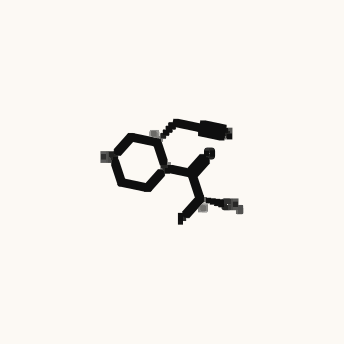 C[C@H](F)C(=O)N1CCNC[C@@H]1CC#N